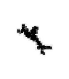 C=C(C)C(=O)Oc1ccc(-c2ccc(OCCCOC(=O)C(=C)COC)cc2-c2ccc(CCCC)cc2)cc1